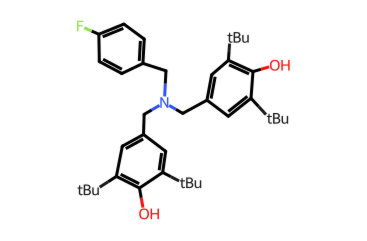 CC(C)(C)c1cc(CN(Cc2ccc(F)cc2)Cc2cc(C(C)(C)C)c(O)c(C(C)(C)C)c2)cc(C(C)(C)C)c1O